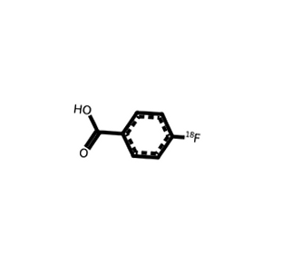 O=C(O)c1ccc([18F])cc1